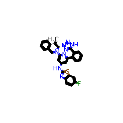 CCCN(Cc1ccccc1)c1cc(Nc2nc3ccc(F)cc3s2)cc(-c2ccccc2-c2nnn[nH]2)n1